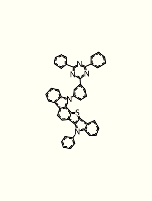 c1ccc(-c2nc(-c3ccccc3)nc(-c3cccc(-n4c5ccccc5c5ccc6c(sc7c8ccccc8n(-c8ccccc8)c67)c54)c3)n2)cc1